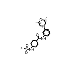 CC(C)S(=O)(=O)NC1CCC(C(=O)Nc2cccc(N3C[C@@H](C)O[C@@H](C)C3)c2)CC1